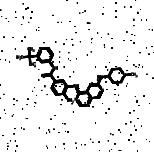 Cc1ccc(C(=O)Nc2ccnc(C(C)(C)C)c2)cc1Nc1ncnc2cnc(NC3CCN(C)CC3)nc12